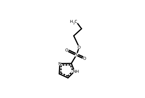 CCCOS(=O)(=O)c1ncc[nH]1